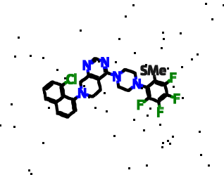 CSc1c(F)c(F)c(F)c(F)c1N1CCN(c2ncnc3c2CCN(c2cccc4cccc(Cl)c24)C3)CC1